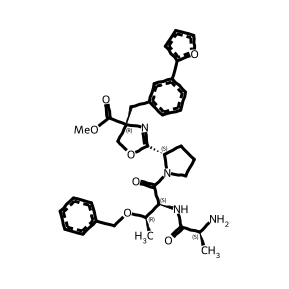 COC(=O)[C@@]1(Cc2cccc(-c3ccco3)c2)COC([C@@H]2CCCN2C(=O)[C@@H](NC(=O)[C@H](C)N)[C@@H](C)OCc2ccccc2)=N1